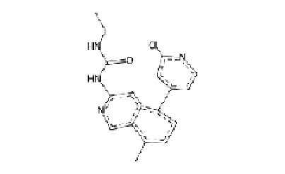 CCNC(=O)Nc1cc2c(-c3ccnc(Cl)c3)ccc(C)c2cn1